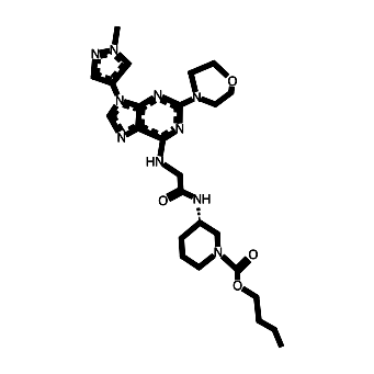 CCCCOC(=O)N1CCC[C@H](NC(=O)CNc2nc(N3CCOCC3)nc3c2ncn3-c2cnn(C)c2)C1